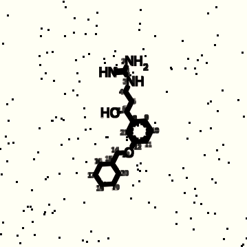 N=C(N)NCC[C@@H](O)c1cccc(OCC2CCCCC2)c1